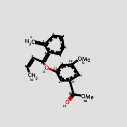 C=c1cccc/c1=C(/C=C\C)Oc1cc(OC)cc(C(=O)OC)c1